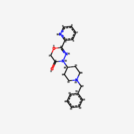 O=C1COC(c2ccccn2)=NN1C1CCN(Cc2ccccc2)CC1